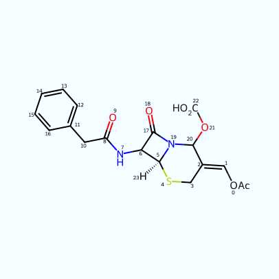 CC(=O)OC=C1CS[C@H]2C(NC(=O)Cc3ccccc3)C(=O)N2C1OC(=O)O